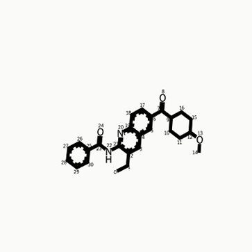 CCc1cc2cc(C(=O)C3CCC(OC)CC3)ccc2nc1NC(=O)c1ccccc1